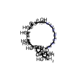 C[C@@H]1[C@H](O)[C@@H](C)/C=C/C=C/C=C/C=C/C=C/C=C/C=C/C(OC2O[C@H](C)[C@@H](O)[C@H](N)[C@@H]2O)C[C@@H]2O[C@](O)(C[C@@H](O)C[C@@H](O)[C@H](O)CC[C@@H](O)C[C@@H](O)CC(=O)O[C@H]1C)C[C@H](O)[C@H]2C(=O)O